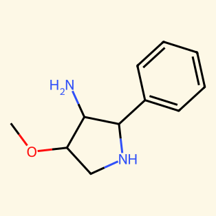 COC1CNC(c2ccccc2)C1N